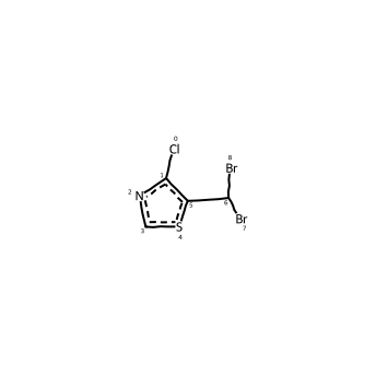 Clc1ncsc1C(Br)Br